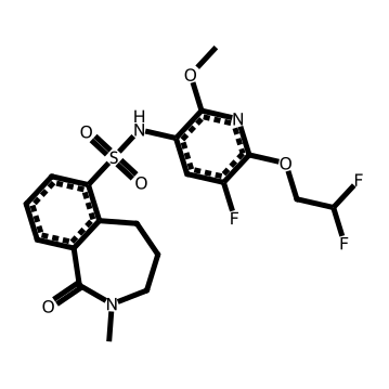 COc1nc(OCC(F)F)c(F)cc1NS(=O)(=O)c1cccc2c1CCCN(C)C2=O